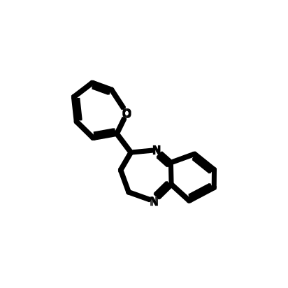 C1=CC=C(C2CCN=c3ccccc3=N2)OC=C1